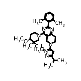 CO[C@H]1CCN(c2nc(-c3c(C)cccc3C)nc3c2CN(c2cc(C(C)C)nn2C)CC3)CC1(C)C